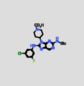 CC(C)(C)Nc1ncc2nc(Nc3cc(F)cc(Cl)c3)n(C3CCN(C(=O)O)CC3)c2n1